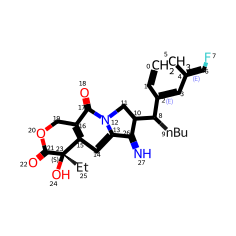 C=C/C(=C\C(C)=C\F)C(CCCC)C1Cn2c(cc3c(c2=O)COC(=O)[C@]3(O)CC)C1=N